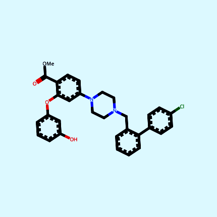 COC(=O)c1ccc(N2CCN(Cc3ccccc3-c3ccc(Cl)cc3)CC2)cc1Oc1cccc(O)c1